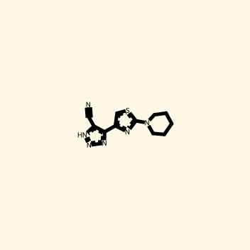 N#Cc1[nH]nnc1-c1csc(N2CCCCC2)n1